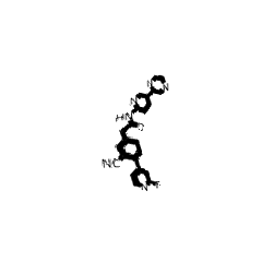 N#Cc1cc(CC(=O)Nc2ccc(-c3cnccn3)cn2)ccc1-c1ccnc(F)c1